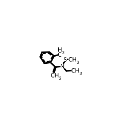 C=C(c1ccccc1C)N(CC)SC